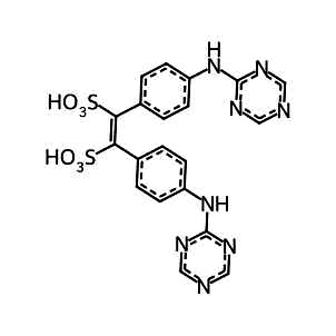 O=S(=O)(O)C(=C(c1ccc(Nc2ncncn2)cc1)S(=O)(=O)O)c1ccc(Nc2ncncn2)cc1